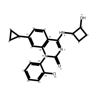 O=c1nc(NC2CCC2O)c2ccc(C3CC3)cc2n1-c1ccccc1Cl